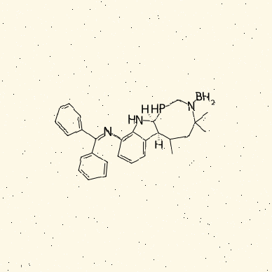 BN1CP[C@@H]2Nc3c(N=C(c4ccccc4)c4ccccc4)cccc3[C@@H]2C(C)CC1(C)C